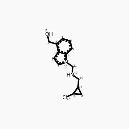 OCc1cccc2c1ccn2CNCC1CC1Cl